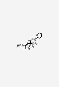 CC(C(=O)O)=C1CC(COC2CCCCO2)C1(C)C